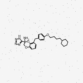 NC1(c2nnn[nH]2)COc2cccc(Cc3ccc(OCCCCC4CCCCC4)cc3)c2O1